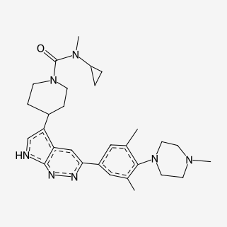 Cc1cc(-c2cc3c(C4CCN(C(=O)N(C)C5CC5)CC4)c[nH]c3nn2)cc(C)c1N1CCN(C)CC1